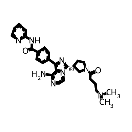 CN(C)CCCC(=O)N1CC[C@@H](c2nc(-c3ccc(C(=O)Nc4ccccn4)cc3)c3c(N)nccn23)C1